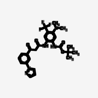 CN(C)c1cc(NC(=O)OC(C)(C)C)c(NC(=O)CC(=O)c2cccc(-n3cccn3)c2)cc1C(F)(F)F